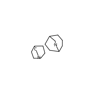 C1CC2CCC(C1)[N]C2.C1CC2CCC1C[N]2